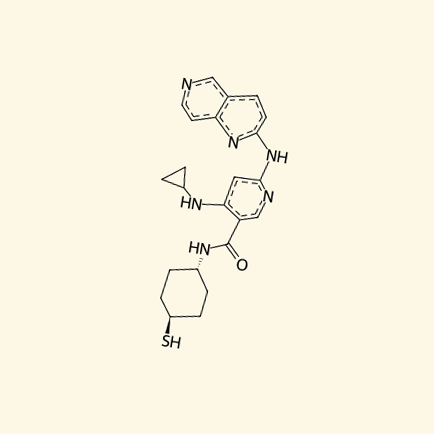 O=C(N[C@H]1CC[C@H](S)CC1)c1cnc(Nc2ccc3cnccc3n2)cc1NC1CC1